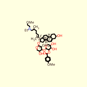 CCN(CCOC)C[C@H](C)CCC[C@@H](C)[C@H]1[C@@H](O[C@@H]2OC[C@H](O)[C@H](O[C@@H]3OC[C@@H](O)[C@H](O)[C@H]3OC(=O)c3ccc(OC)cc3)[C@H]2OC(C)=O)C[C@H]2[C@@H]3CC=C4C[C@@H](O)CC[C@]4(C)[C@H]3CC[C@]12C